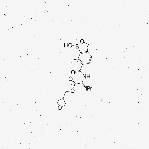 Cc1c(C(=O)N[C@H](C(=O)OCC2COC2)C(C)C)ccc2c1B(O)OC2